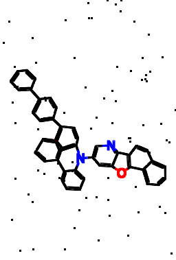 c1ccc(-c2ccc(-c3ccc(N(c4cnc5c(c4)oc4c6ccccc6ccc54)c4ccccc4-c4ccccc4)cc3)cc2)cc1